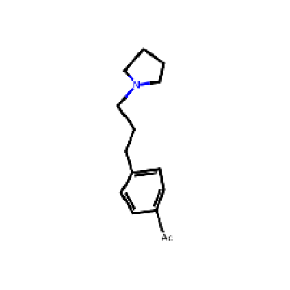 CC(=O)c1ccc(CCCN2CCCC2)cc1